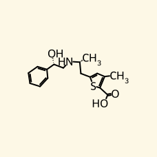 Cc1cc(C[C@@H](C)NC[C@@H](O)c2ccccc2)sc1C(=O)O